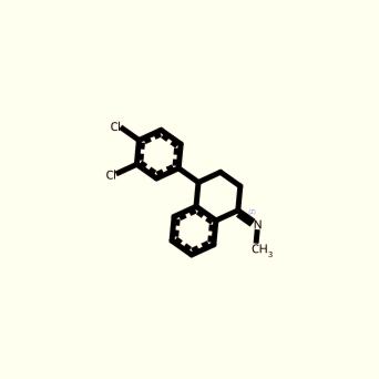 C/N=C1/CCC(c2ccc(Cl)c(Cl)c2)c2ccccc21